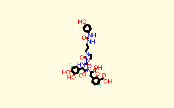 O=C(NCCCN1CCN(C(=O)NC(C(=O)NC2Cc3ccc(F)c(C(=O)O)c3OB2O)c2cc(F)c(O)c(O)c2Cl)C1=O)Nc1ccc(O)cc1